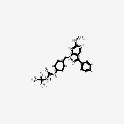 CNc1ncc2c(-c3ccccc3)nn(CC3CCC(OC(=O)NC(C)(C)C)CC3)c2n1